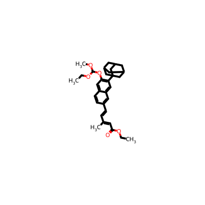 CCOC(=O)C=C(C)C=Cc1ccc2cc(OC(OC)OCC)c(C34CC5CC(CC(C5)C3)C4)cc2c1